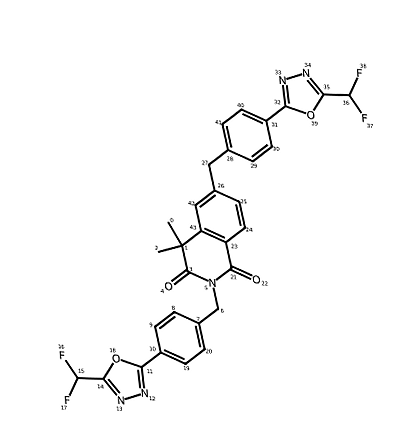 CC1(C)C(=O)N(Cc2ccc(-c3nnc(C(F)F)o3)cc2)C(=O)c2ccc(Cc3ccc(-c4nnc(C(F)F)o4)cc3)cc21